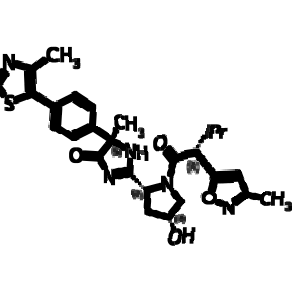 Cc1cc([C@H](C(=O)N2C[C@H](O)C[C@@H]2C2=NC(=O)[C@](C)(c3ccc(-c4scnc4C)cc3)N2)C(C)C)on1